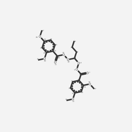 [CH2]CC[C](OOC(=O)c1ccc(OC)cc1OC)OOC(=O)c1ccc(OC)cc1OC